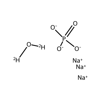 O=P([O-])([O-])[O-].[2H]O[2H].[Na+].[Na+].[Na+]